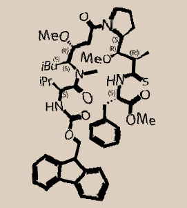 CC[C@H](C)[C@@H]([C@@H](CC(=O)N1CCC[C@H]1[C@H](OC)[C@@H](C)C(=S)N[C@@H](Cc1ccccc1)C(=O)OC)OC)N(C)C(=O)[C@@H](NC(=O)OCC1c2ccccc2-c2ccccc21)C(C)C